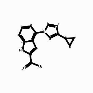 O=C(Cl)c1cc2c(-n3cnc(C4CC4)c3)cccc2[nH]1